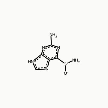 Nc1nc([S+](N)[O-])c2nc[nH]c2n1